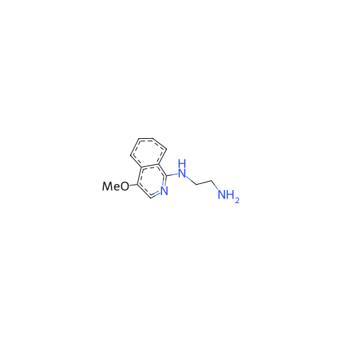 COc1cnc(NCCN)c2ccccc12